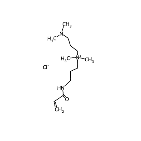 C=CC(=O)NCCC[N+](C)(C)CCCN(C)C.[Cl-]